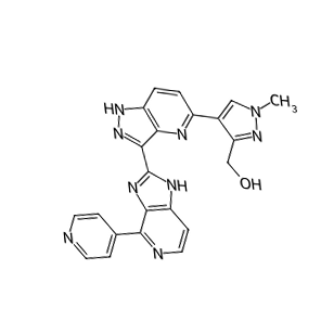 Cn1cc(-c2ccc3[nH]nc(-c4nc5c(-c6ccncc6)nccc5[nH]4)c3n2)c(CO)n1